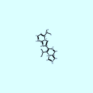 CC(C)c1c(-c2cn3c(C(C)C)ccnc3n2)ncc2cncn12